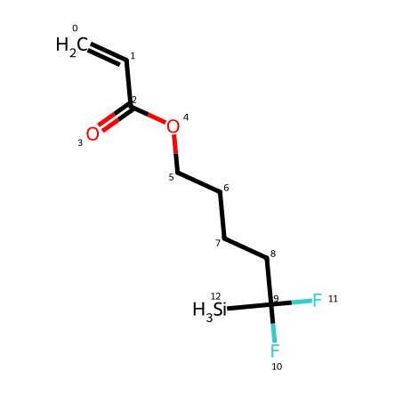 C=CC(=O)OCCCCC(F)(F)[SiH3]